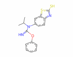 CC(C)N(C(=N)Oc1ccccc1)c1ccc2nc(S)sc2c1